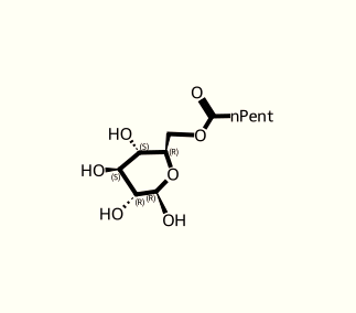 CCCCCC(=O)OC[C@H]1O[C@@H](O)[C@H](O)[C@@H](O)[C@@H]1O